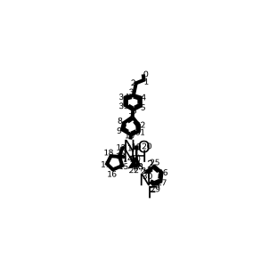 CCCc1ccc(-c2ccc(N(CC3(N)CCCC3)C(=O)[C@@H]3C[C@H]3c3cccc(F)n3)cc2)cc1